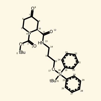 CC(C)(C)OC(=O)N1CCC(=O)C[C@H]1C(=O)NCCCO[Si](c1ccccc1)(c1ccccc1)C(C)(C)C